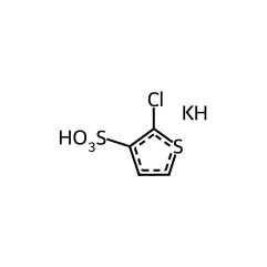 O=S(=O)(O)c1ccsc1Cl.[KH]